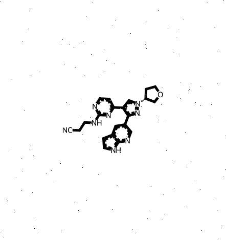 N#CCCNc1nccc(-c2cn([C@@H]3CCOC3)nc2-c2cnc3[nH]ccc3c2)n1